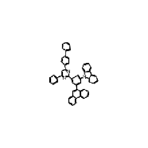 c1ccc(-c2ccc(-c3cc(-c4ccccc4)nc(-c4cc(-c5cc6ccccc6c6ccccc56)cc(-n5c6ccccc6c6ccccc65)c4)n3)cc2)cc1